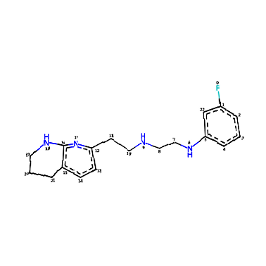 Fc1cccc(NCCNCCc2ccc3c(n2)NCCC3)c1